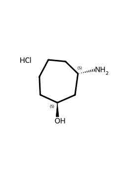 Cl.N[C@H]1CCCC[C@H](O)C1